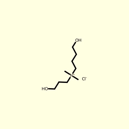 C[N+](C)(CCCO)CCCCO.[Cl-]